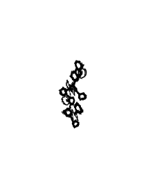 c1ccc(-c2cc(-c3ccc4c(c3)oc3ccccc34)nc(-c3cccc4oc5c(-c6cccc7c8ccccc8n(-c8ccccc8)c67)cccc5c34)n2)cc1